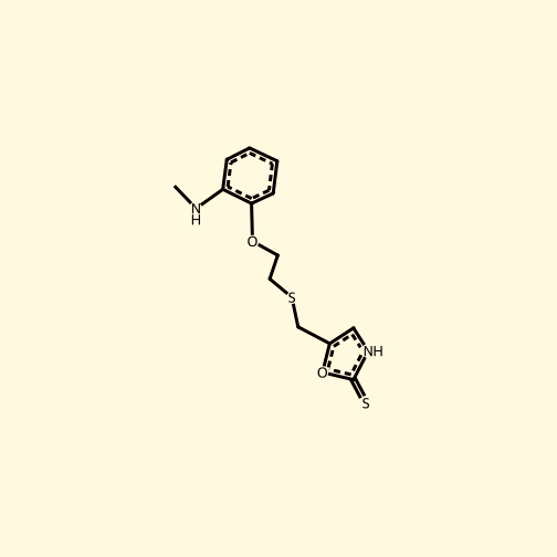 CNc1ccccc1OCCSCc1c[nH]c(=S)o1